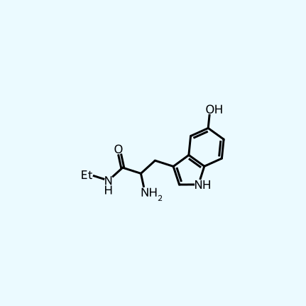 CCNC(=O)C(N)Cc1c[nH]c2ccc(O)cc12